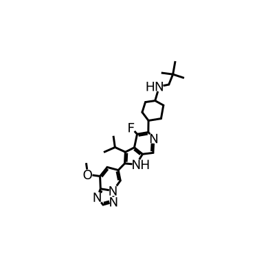 COc1cc(-c2[nH]c3cnc(C4CCC(NCC(C)(C)C)CC4)c(F)c3c2C(C)C)cn2ncnc12